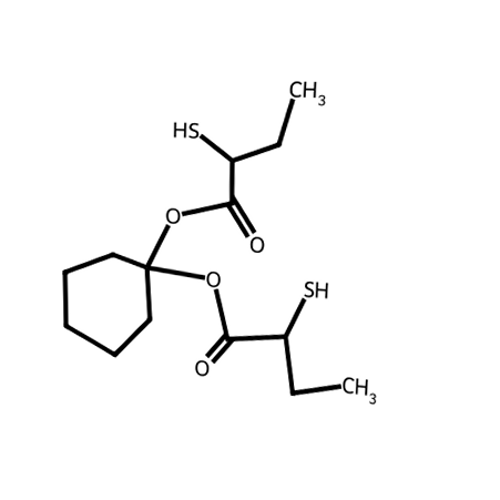 CCC(S)C(=O)OC1(OC(=O)C(S)CC)CCCCC1